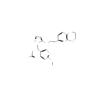 COc1ccc([C@H](CC(=O)O)[In]2[N]=CC=[C]2OCCc2ccc3c(n2)NCCO3)cn1